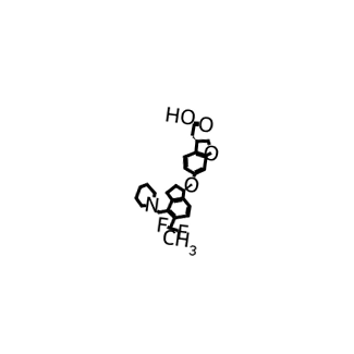 CC(F)(F)c1ccc2c(c1CN1CCCCC1)CC[C@H]2Oc1ccc2c(c1)OC[C@H]2CC(=O)O